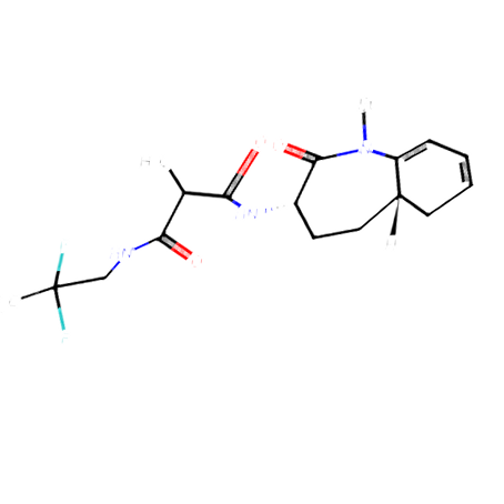 CCN1C(=O)[C@@H](NC(=O)C(C)C(=O)NCC(F)(F)C(F)(F)F)CC[C@H]2CC=CC=C21